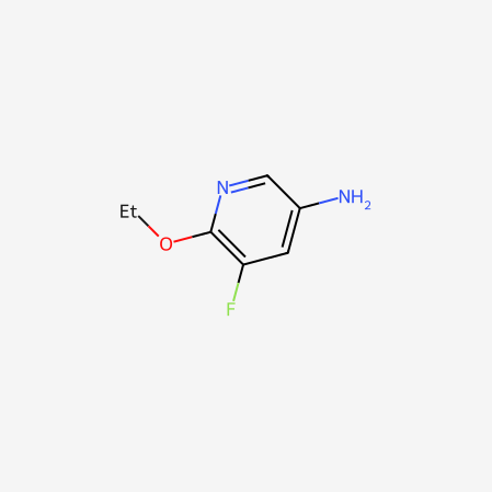 CCOc1ncc(N)cc1F